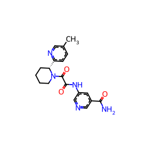 Cc1ccc([C@H]2CCCCN2C(=O)C(=O)Nc2cncc(C(N)=O)c2)nc1